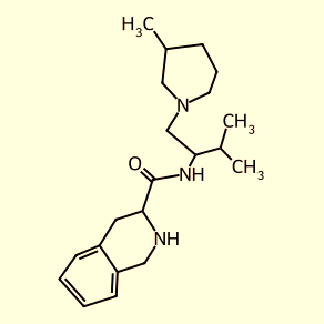 CC1CCCN(CC(NC(=O)C2Cc3ccccc3CN2)C(C)C)C1